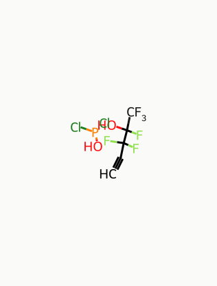 C#CC(F)(F)C(O)(F)C(F)(F)F.OP(Cl)Cl